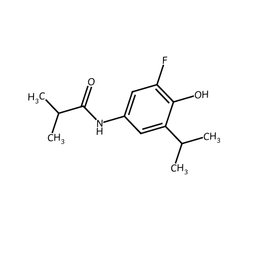 CC(C)C(=O)Nc1cc(F)c(O)c(C(C)C)c1